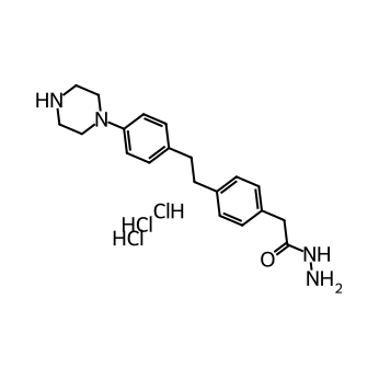 Cl.Cl.Cl.NNC(=O)Cc1ccc(CCc2ccc(N3CCNCC3)cc2)cc1